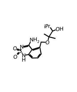 CC(C)C(O)C(C)(C)OCc1cccc2c1C(N)=NS(=O)(=O)N2